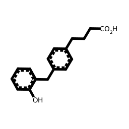 O=C(O)CCCc1ccc(Cc2ccccc2O)cc1